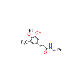 CCOc1c(O)cc(/C=C/C(=O)NCC(C)C)cc1C(F)(F)F